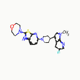 Cn1cc(C2CCN(c3ccc4nc(N5CCOCC5)sc4n3)CC2)c2cc(F)cnc21